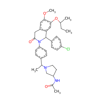 CCC(C)Oc1cc2c(cc1OC)CC(=O)N(c1ccc(C(C)N3CCC(NC(C)=O)C3)cc1)C2c1ccc(Cl)cc1